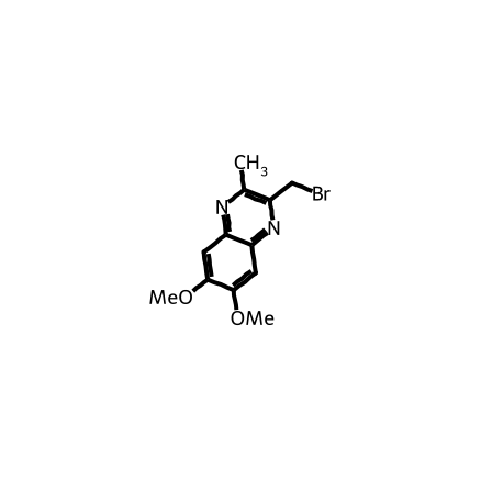 COc1cc2nc(C)c(CBr)nc2cc1OC